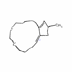 CC1C=C2CCCCCCCCC/C=C\2C1